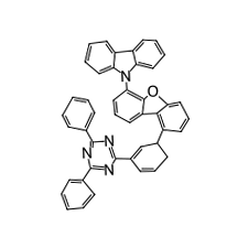 C1=CC(c2nc(-c3ccccc3)nc(-c3ccccc3)n2)=CC(c2cccc3oc4c(-n5c6ccccc6c6ccccc65)cccc4c23)C1